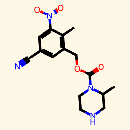 Cc1c(COC(=O)N2CCNCC2C)cc(C#N)cc1[N+](=O)[O-]